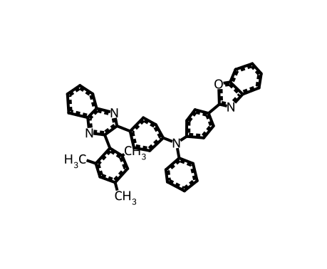 Cc1cc(C)c(-c2nc3ccccc3nc2-c2ccc(N(c3ccccc3)c3ccc(-c4nc5ccccc5o4)cc3)cc2)c(C)c1